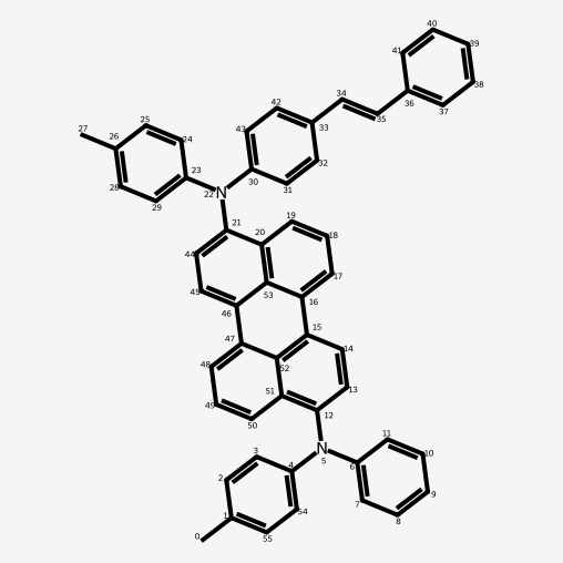 Cc1ccc(N(c2ccccc2)c2ccc3c4cccc5c(N(c6ccc(C)cc6)c6ccc(C=Cc7ccccc7)cc6)ccc(c6cccc2c63)c54)cc1